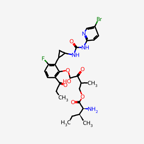 CCC(=O)c1ccc(F)c(C2CC2NC(=O)Nc2ccc(Br)cn2)c1OC(O)C(=O)C(C)COC(=O)[C@@H](N)[C@@H](C)CC